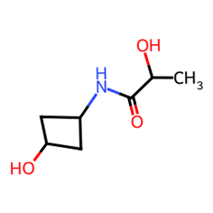 CC(O)C(=O)NC1CC(O)C1